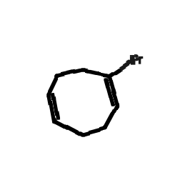 CC(C)C1=CCCC=CCC1